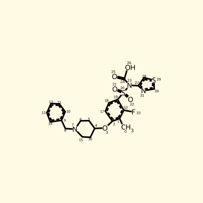 Cc1c(OC2CCN(Cc3ccccc3)CC2)ccc(S(=O)(=O)N(C(=O)O)c2cscn2)c1F